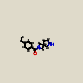 CCc1ccc(C(=O)N2CC3(CCNC3)C2)cc1